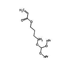 C=CC(=O)OCCC[SiH2]OC(OCCC)OCCC